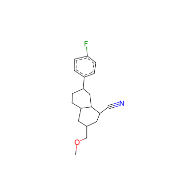 COCC1CC(C#N)C2CC(c3ccc(F)cc3)CCC2C1